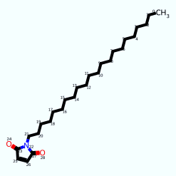 CCCCCCCCCCCCCCCCCCCCCCN1C(=O)C=CC1=O